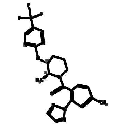 Cc1ccc(C(=O)N2CCC[C@@H](Oc3ncc(C(F)(F)F)cn3)[C@@H]2C)c(-n2nccn2)c1